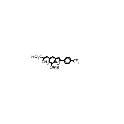 COc1cc(/C=C(\C)C(=O)O)cc2cc(-c3ccc(C(F)(F)F)cc3)oc12